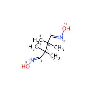 CC(C)(/C=N/O)C(C)(C)/C=N/O